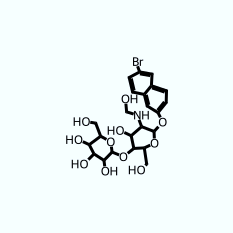 OCNC1C(Oc2ccc3cc(Br)ccc3c2)OC(CO)C(OC2OC(CO)C(O)C(O)C2O)C1O